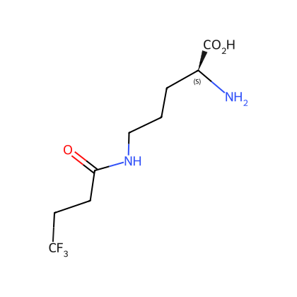 N[C@@H](CCCNC(=O)CCC(F)(F)F)C(=O)O